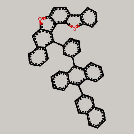 c1cc(-c2c3ccccc3c(-c3ccc4ccccc4c3)c3ccccc23)cc(-c2c3ccccc3cc3oc4ccc5c6ccccc6oc5c4c23)c1